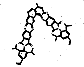 C=Cc1cc(C(C)C)c(N2C(=O)c3cc4nc5cc(C)c(/C=C\c6cc7nc8cc9c(cc8nc7cc6C=C)C(=O)N(c6c(C(C)C)cc(C=C)cc6C(C)C)C9=O)cc5nc4cc3C2=O)c(C(C)C)c1